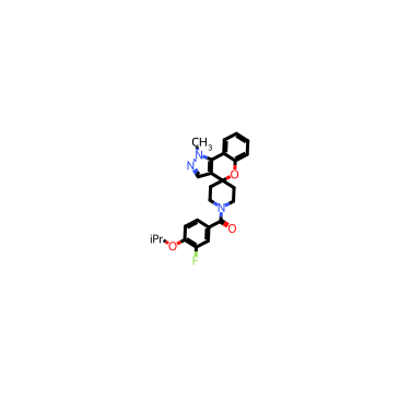 CC(C)Oc1ccc(C(=O)N2CCC3(CC2)Oc2ccccc2-c2c3cnn2C)cc1F